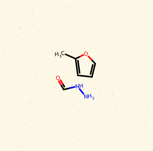 Cc1ccco1.NNC=O